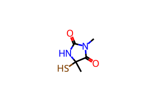 CN1C(=O)NC(C)(S)C1=O